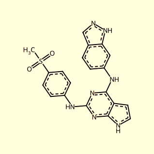 CS(=O)(=O)c1ccc(Nc2nc(Nc3ccc4cn[nH]c4c3)c3cc[nH]c3n2)cc1